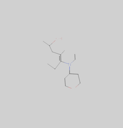 CC/C(=C(/C)CC(C)O)N(CC)C1CCOCC1